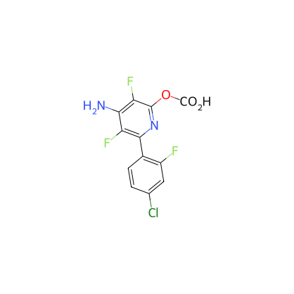 Nc1c(F)c(OC(=O)O)nc(-c2ccc(Cl)cc2F)c1F